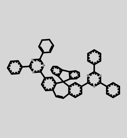 C1=CC(c2nc(-c3ccccc3)nc(-c3ccc4c(c3)C3(c5cc(-c6nc(-c7ccccc7)nc(-c7ccccc7)n6)ccc5C=C4)c4ccccc4-c4ccccc43)n2)=CCC1